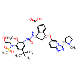 COc1c(NC(=O)N[C@H]2CC[C@@H](Oc3ccc4nnc([C@@H]5CCCN5C)n4c3)c3ccccc32)cc(C(C)(C)C)cc1N(CCO)S(C)(=O)=O.O=CO